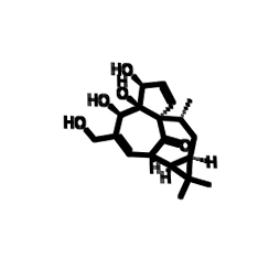 C[C@@H]1C[C@@H]2[C@H]([C@@H]3C=C(CO)[C@@H](O)[C@]4(O)[C@@H](O)C=C[C@@]14C3=O)C2(C)C